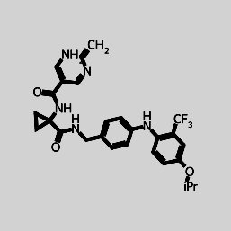 C=C/N=C\C(=C/N)C(=O)NC1(C(=O)NCc2ccc(Nc3ccc(OC(C)C)cc3C(F)(F)F)cc2)CC1